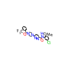 COc1ccc(Cl)cc1NC(=O)c1ccc(N2CCN(C(=O)c3ccccc3C(F)(F)F)CC2)nn1